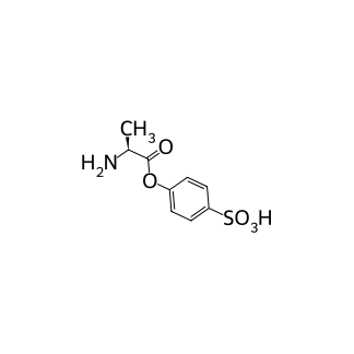 C[C@H](N)C(=O)Oc1ccc(S(=O)(=O)O)cc1